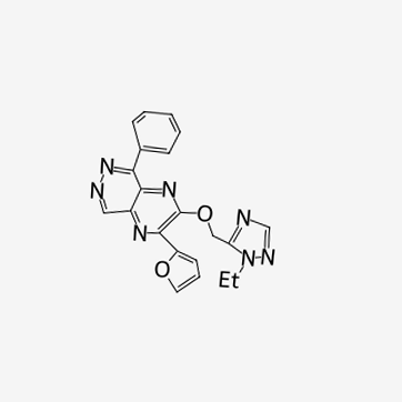 CCn1ncnc1COc1nc2c(-c3ccccc3)nncc2nc1-c1ccco1